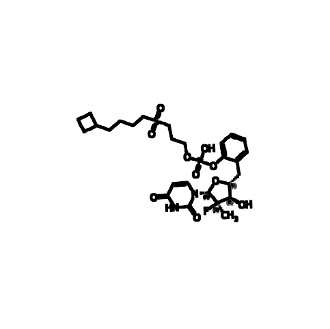 C[C@@]1(F)[C@H](O)[C@@H](Cc2ccccc2OP(=O)(O)OCCCS(=O)(=O)CCCCC2CCC2)O[C@H]1n1ccc(=O)[nH]c1=O